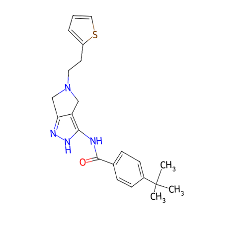 CC(C)(C)c1ccc(C(=O)Nc2[nH]nc3c2CN(CCc2cccs2)C3)cc1